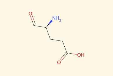 N[C@H](C=O)CCC(=O)O